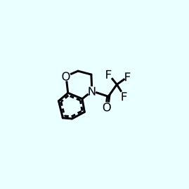 O=C(N1CCOc2ccccc21)C(F)(F)F